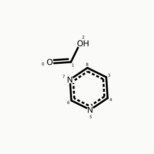 O=CO.c1cncnc1